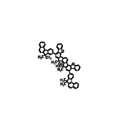 CC1(C)c2cc(-c3cc4c(c5oc6ccccc6c35)-c3ccc5c(c3C4(C)C)C(C)(C)c3cc(-c4ccc6c(c4)C(C)(C)c4ccc7ccccc7c4-6)c4c(oc6ccccc64)c3-5)ccc2-c2c1ccc1ccccc21